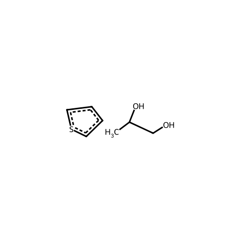 CC(O)CO.c1ccsc1